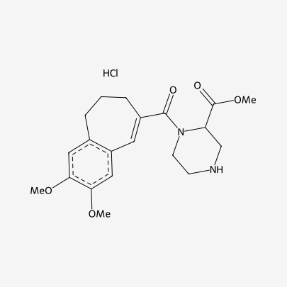 COC(=O)C1CNCCN1C(=O)C1=Cc2cc(OC)c(OC)cc2CCC1.Cl